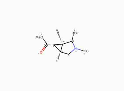 COC(=O)[C@H]1[C@@H]2CN(C(C)(C)C)C(C(C)(C)C)[C@@H]21